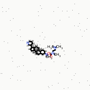 CN(C)CCN(C)C(=O)ON(C)C1C=C2CC[C@H]3[C@H](CC[C@]4(C)C(c5cccnc5)=CC[C@@H]34)[C@@]2(C)CC1